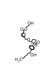 CCCCCC(O)c1ccc(N2C(COCc3ccc(C(=O)OCCO)s3)CCS2(=O)=O)cc1